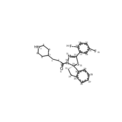 O=C(CCC1CCNCC1)N1N=C(c2cc(F)ccc2F)S[C@]12CCc1ccccc12